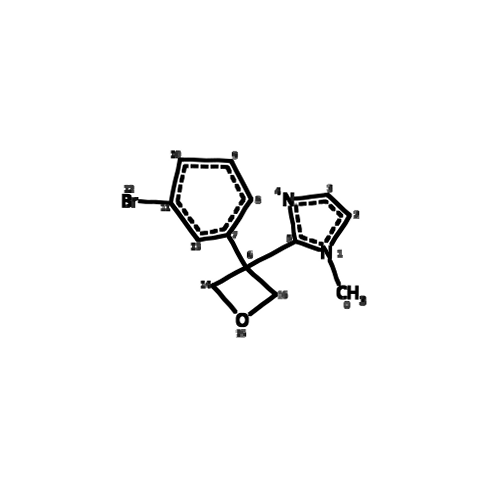 Cn1ccnc1C1(c2cccc(Br)c2)COC1